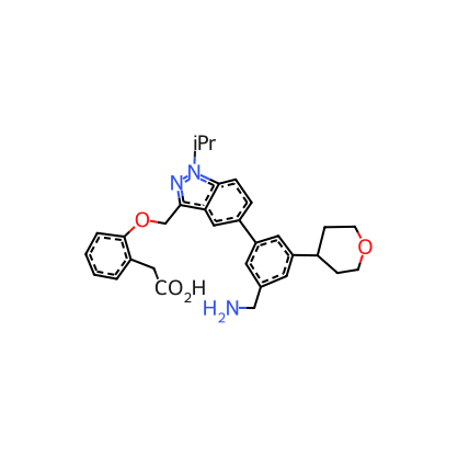 CC(C)n1nc(COc2ccccc2CC(=O)O)c2cc(-c3cc(CN)cc(C4CCOCC4)c3)ccc21